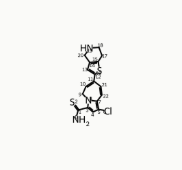 NC(=S)c1cc(Cl)c2n1CC=C(c1cc3c(s1)CCNC3)C=C2